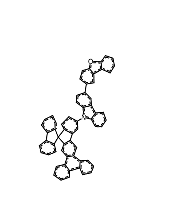 c1ccc2c(c1)-c1ccccc1C21c2ccc(-n3c4ccccc4c4cc(-c5ccc6oc7ccccc7c6c5)ccc43)cc2-c2cc3c4ccccc4c4ccccc4c3cc21